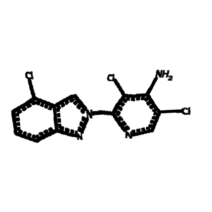 Nc1c(Cl)cnc(-n2cc3c(Cl)cccc3n2)c1Cl